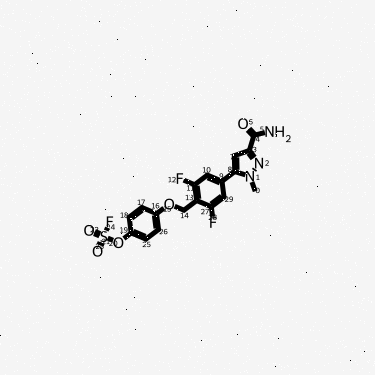 Cn1nc(C(N)=O)cc1-c1cc(F)c(COc2ccc(OS(=O)(=O)F)cc2)c(F)c1